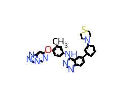 Cc1cc(Nc2ncnc3ccc(-c4cccc(N5CCSCC5)c4)cc23)ccc1Oc1cc2nncn2cn1